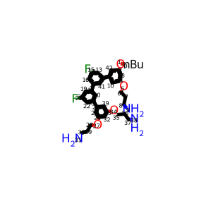 CCCCOc1cc(OCCCN)cc(-c2cc(F)cc(-c3cc(F)cc(-c4cc(OCCCN)cc(OCCCN)c4)c3)c2)c1